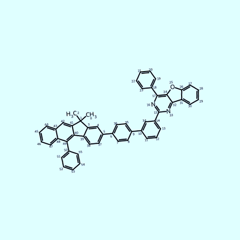 CC1(C)c2cc(-c3ccc(-c4cccc(-c5nc(-c6ccccc6)c6oc7ccccc7c6n5)c4)cc3)ccc2-c2c1cc1ccccc1c2-c1ccccc1